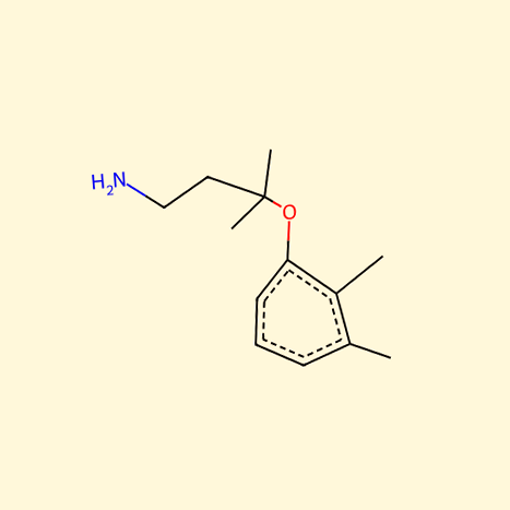 Cc1cccc(OC(C)(C)CCN)c1C